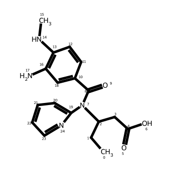 CCC(CC(=O)O)N(C(=O)c1ccc(NC)c(N)c1)c1ccccn1